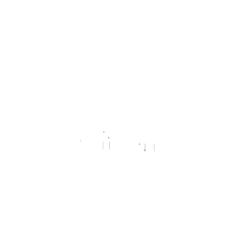 NC(=O)C1Cc2ccccc2C(=O)N1